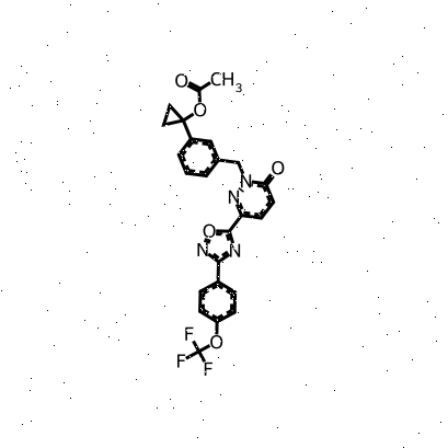 CC(=O)OC1(c2cccc(Cn3nc(-c4nc(-c5ccc(OC(F)(F)F)cc5)no4)ccc3=O)c2)CC1